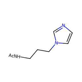 [CH2]C(=O)NCCCn1ccnc1